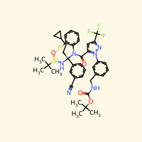 CC(C)(C)OC(=O)NCc1cccc(-n2nc(C(F)(F)F)cc2C(=O)N(c2ccccc2F)[C@@](CCC2CC2)(N[S@+]([O-])C(C)(C)C)c2cccc(C#N)c2)c1